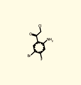 Nc1cc(F)c(Br)cc1C(=O)CCl